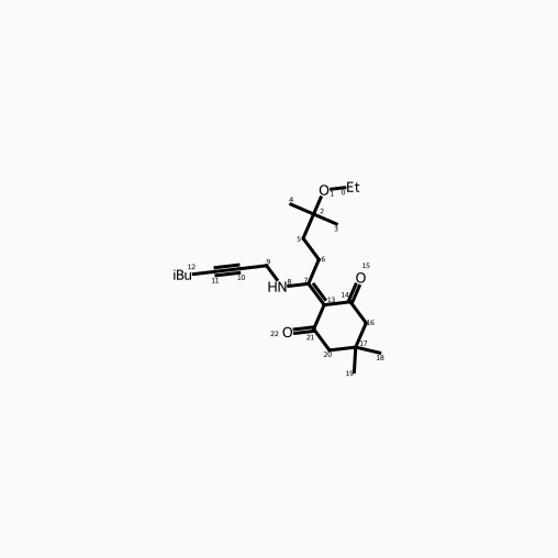 CCOC(C)(C)CCC(NCC#CC(C)CC)=C1C(=O)CC(C)(C)CC1=O